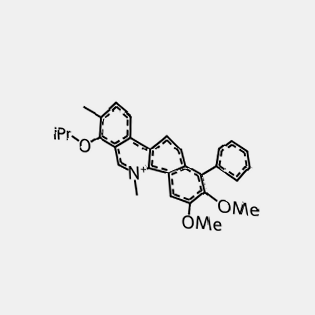 COc1cc2c(ccc3c4ccc(C)c(OC(C)C)c4c[n+](C)c23)c(-c2ccccc2)c1OC